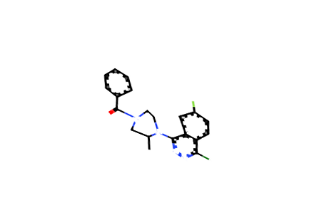 CC1CN(C(=O)c2ccccc2)CCN1c1nnc(Cl)c2ccc(F)cc12